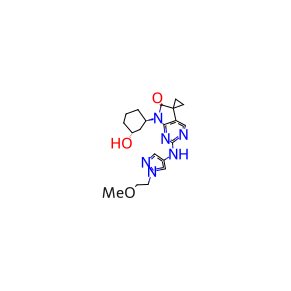 COCCn1cc(Nc2ncc3c(n2)N([C@@H]2CCC[C@@H](O)C2)C(=O)C32CC2)cn1